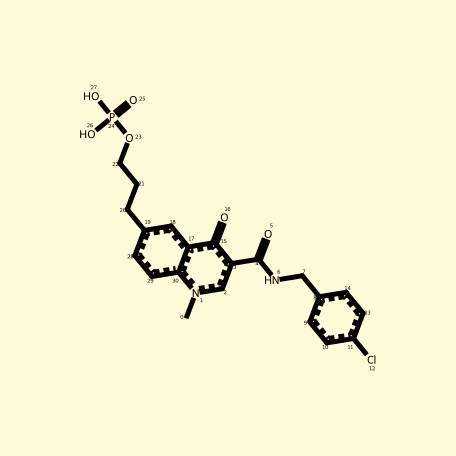 Cn1cc(C(=O)NCc2ccc(Cl)cc2)c(=O)c2cc(CCCOP(=O)(O)O)ccc21